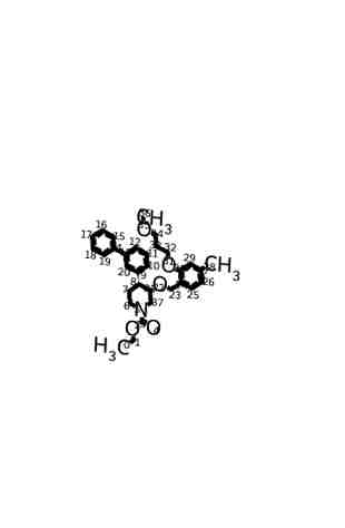 CCOC(=O)N1CC[C@H](c2cccc(-c3ccccc3)c2)[C@@H](OCc2ccc(C)cc2OCCCOC)C1